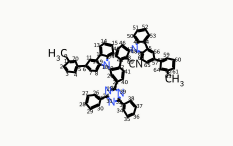 Cc1cccc(-c2ccc3c(c2)c2ccccc2n3-c2cc(-c3nc(-c4ccccc4)nc(-c4ccccc4)n3)ccc2-c2cccc(-n3c4ccccc4c4cc(-c5cccc(C)c5)ccc43)c2C#N)c1